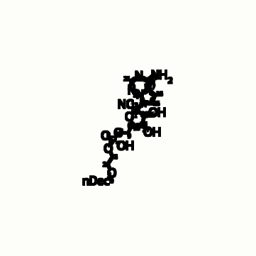 CCCCCCCCCCOCCOP(=O)(O)OC[C@H]1O[C@@](C#N)(c2ccc3c(N)ncnn23)[C@H](O)[C@@H]1O